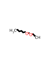 C#CCOCOCCCCCC